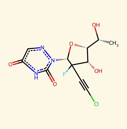 C[C@@H](O)[C@H]1O[C@@H](n2ncc(=O)[nH]c2=O)C(F)(C#CCl)[C@H]1O